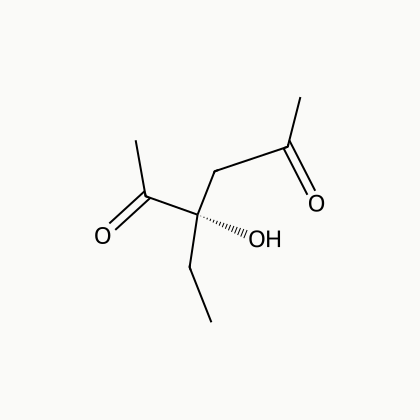 CC[C@](O)(CC(C)=O)C(C)=O